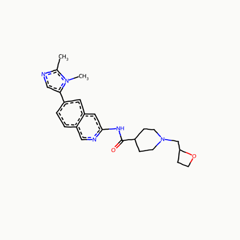 Cc1ncc(-c2ccc3cnc(NC(=O)C4CCN(CC5CCO5)CC4)cc3c2)n1C